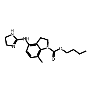 CCCCOC(=O)N1CCc2c(NC3=NCCN3)ccc(C)c21